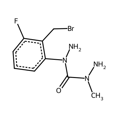 CN(N)C(=O)N(N)c1cccc(F)c1CBr